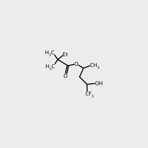 CCC(C)(C)C(=O)OC(C)CC(O)C(F)(F)F